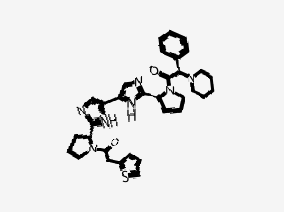 O=C(Cc1cccs1)N1CCC[C@H]1c1ncc(-c2cnc([C@@H]3CCCN3C(=O)[C@@H](c3ccccc3)N3CCCCC3)[nH]2)[nH]1